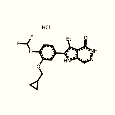 CCc1c(-c2ccc(OC(F)F)c(OCC3CC3)c2)[nH]c2cn[nH]c(=O)c12.Cl